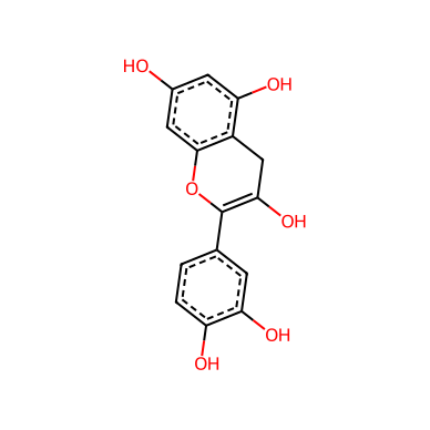 OC1=C(c2ccc(O)c(O)c2)Oc2cc(O)cc(O)c2C1